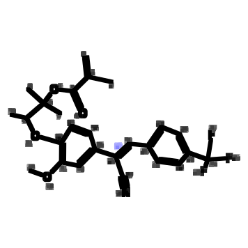 C=C(C)C(=O)OC(C)(C)C(C)Oc1ccc(/C(C#N)=C/c2ccc(C(F)(F)F)cc2)cc1OC